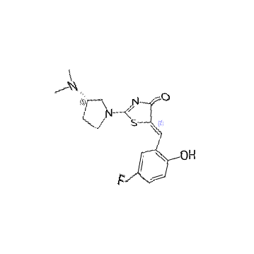 CN(C)[C@H]1CCN(C2=NC(=O)/C(=C/c3cc(F)ccc3O)S2)C1